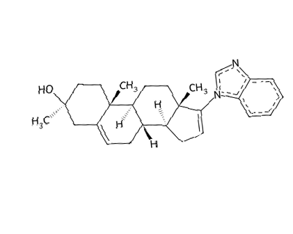 C[C@]1(O)CC[C@@]2(C)C(=CC[C@@H]3[C@@H]2CC[C@]2(C)C(n4cnc5ccccc54)=CC[C@@H]32)C1